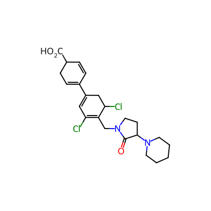 O=C(O)C1C=CC(C2=CC(Cl)=C(CN3CCC(N4CCCCC4)C3=O)C(Cl)C2)=CC1